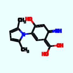 Cc1ccc(C)n1C1=CC(=C(O)O)C(=N)C=C1O